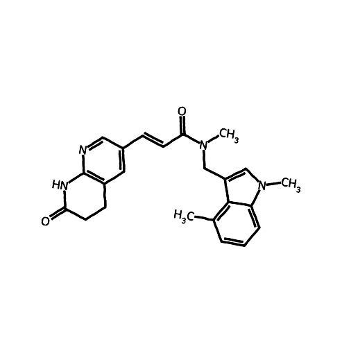 Cc1cccc2c1c(CN(C)C(=O)C=Cc1cnc3c(c1)CCC(=O)N3)cn2C